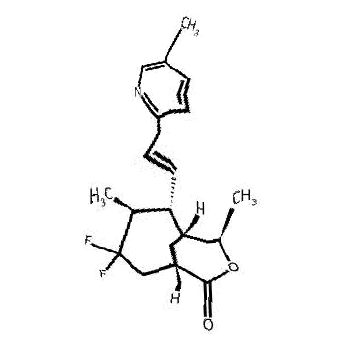 Cc1ccc(/C=C/[C@@H]2[C@@H]3[C@@H](C)OC(=O)[C@@H]3CC(F)(F)[C@H]2C)nc1